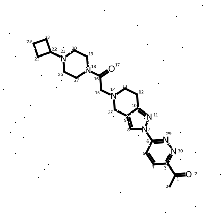 CC(=O)c1ccc(-n2cc3c(n2)CCN(CC(=O)N2CCN(C4CCC4)CC2)C3)nn1